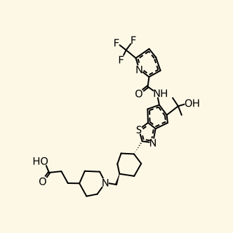 CC(C)(O)c1cc2nc([C@H]3CC[C@H](CN4CCC(CCC(=O)O)CC4)CC3)sc2cc1NC(=O)c1cccc(C(F)(F)F)n1